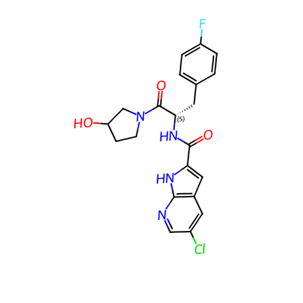 O=C(N[C@@H](Cc1ccc(F)cc1)C(=O)N1CCC(O)C1)c1cc2cc(Cl)cnc2[nH]1